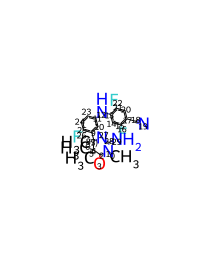 CN1C(=O)C(C)(C)[C@@](C)(c2cc(Nc3cc(F)c(C#N)cc3F)ccc2F)N=C1N